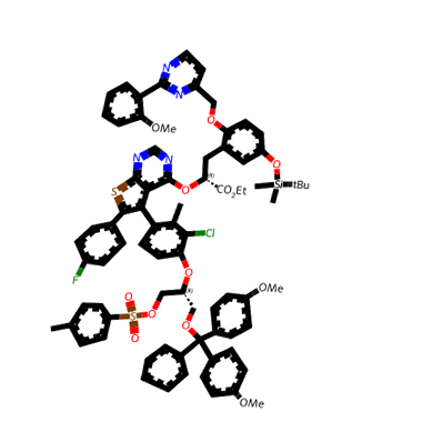 CCOC(=O)[C@@H](Cc1cc(O[Si](C)(C)C(C)(C)C)ccc1OCc1ccnc(-c2ccccc2OC)n1)Oc1ncnc2sc(-c3ccc(F)cc3)c(-c3ccc(O[C@H](COC(c4ccccc4)(c4ccc(OC)cc4)c4ccc(OC)cc4)COS(=O)(=O)c4ccc(C)cc4)c(Cl)c3C)c12